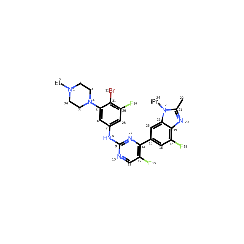 CCN1CCN(c2cc(Nc3ncc(F)c(-c4cc(F)c5nc(C)n(C(C)C)c5c4)n3)cc(F)c2Br)CC1